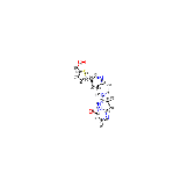 Cc1cc(=O)n2nc(N3CCc4ncc(-c5ccc(CO)s5)cc4C3)c(C)cc2n1